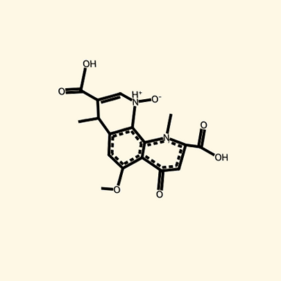 COc1cc2c(c3c1c(=O)cc(C(=O)O)n3C)[NH+]([O-])C=C(C(=O)O)C2C